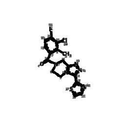 Cc1c(C(=O)N2CCn3c(nnc3-c3nccs3)C2)ccc(F)c1Cl